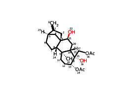 C=C1C[C@]23C[C@H]1CC[C@H]2[C@]1(C)CC[C@@H](OC(C)=O)[C@](O)(COC(C)=O)[C@H]1C[C@@H]3O